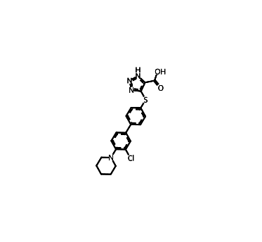 O=C(O)c1[nH]nnc1Sc1ccc(-c2ccc(N3CCCCC3)c(Cl)c2)cc1